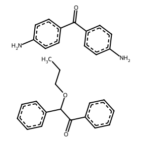 CCCOC(C(=O)c1ccccc1)c1ccccc1.Nc1ccc(C(=O)c2ccc(N)cc2)cc1